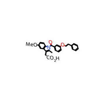 COc1ccc2c(c1)c(CC(=O)O)c(C)n2C(=O)c1cccc(OCCc2ccccc2)c1